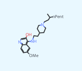 CCCCCC(C)CCN1CCC(CCNc2c(O)cnc3ccc(OC)cc23)CC1